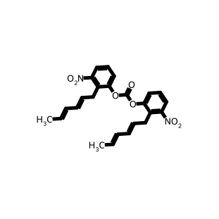 C/C=C/C=C/Cc1c(OC(=O)Oc2cccc([N+](=O)[O-])c2C/C=C/C=C/C)cccc1[N+](=O)[O-]